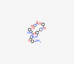 NCc1cccc(C2CCN(C(=O)c3cccc(OCC(=O)N4CC5OB(c6cccc7[nH]c(C(=O)N8CCC9(CC8)COc8ccc(CN)cc89)cc67)OC5C4)c3)CC2)c1